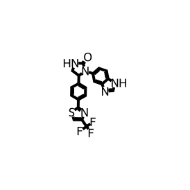 O=C1NCC(c2ccc(-c3nc(C(F)(F)F)cs3)cc2)N1c1ccc2[nH]cnc2c1